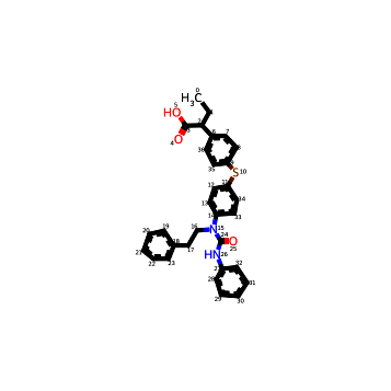 CCC(C(=O)O)c1ccc(Sc2ccc(N(CCc3ccccc3)C(=O)Nc3ccccc3)cc2)cc1